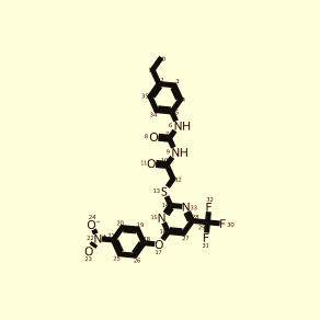 CCc1ccc(NC(=O)NC(=O)CSc2nc(Oc3ccc([N+](=O)[O-])cc3)cc(C(F)(F)F)n2)cc1